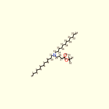 CCCCCCCCCCCCN(CCCCCCCCCCCC)CCCC(=O)OC(C)(C)C